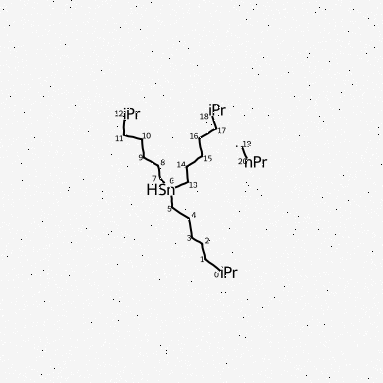 CC(C)CCCC[CH2][SnH]([CH2]CCCCC(C)C)[CH2]CCCCC(C)C.[CH2]CCC